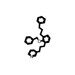 [c]1ccc(CCCc2cccnc2)c(OCc2ccccc2)c1CCCc1ccccc1